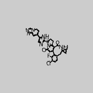 O=C1NC2(CC2)Cc2ccc(Cl)c(F)c2-c2cc(=O)n3c(c21)CC[C@@H]3c1ncc(-c2ccn3cnnc3c2)[nH]1